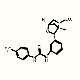 O=C(Nc1ccc(C(F)(F)F)cc1)Nc1cccc([C@@H]2O[C@@H]3C[C@H]2N(C(=O)O)C3)c1